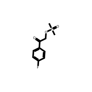 CP(C)(=O)OCC(=O)c1ccc(F)cc1